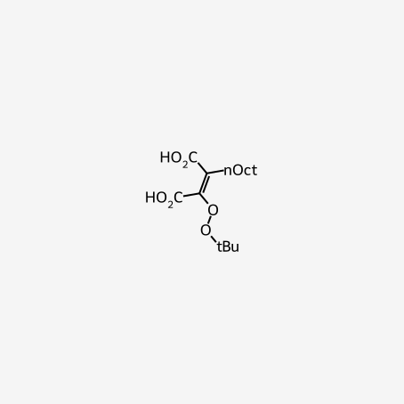 CCCCCCCCC(C(=O)O)=C(OOC(C)(C)C)C(=O)O